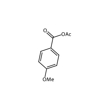 COc1ccc(C(=O)OC(C)=O)cc1